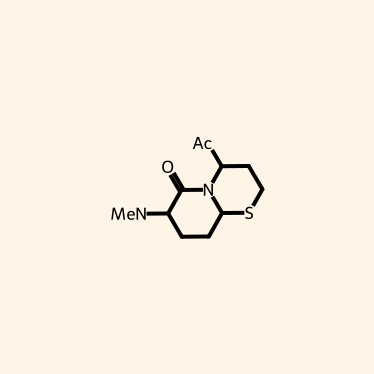 CNC1CCC2SCCC(C(C)=O)N2C1=O